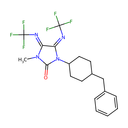 CN1C(=O)N(C2CCC(Cc3ccccc3)CC2)C(=NC(F)(F)F)C1=NC(F)(F)F